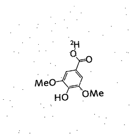 [2H]OC(=O)c1cc(OC)c(O)c(OC)c1